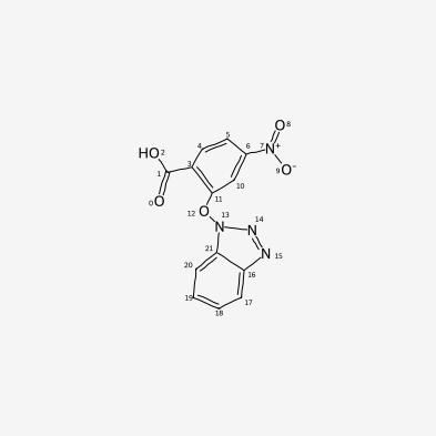 O=C(O)c1ccc([N+](=O)[O-])cc1On1nnc2ccccc21